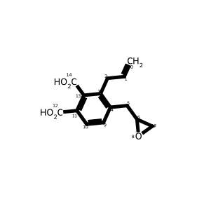 C=CCc1c(CC2CO2)ccc(C(=O)O)c1C(=O)O